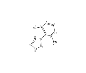 N#Cc1cccc(C#N)c1-c1co[c]n1